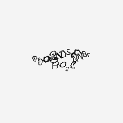 CC(C)Oc1ccc(S(=O)(=O)N2CCC(Sc3cn(CC(=O)O)c4nc(Br)ccc34)CC2)cc1